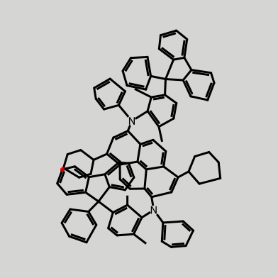 Cc1ccc(C2(c3ccccc3)c3ccccc3-c3ccccc32)c(C)c1N(c1ccccc1)c1cc(C2CCCCC2)c2ccc3c(N(c4ccccc4)c4c(C)ccc(C5(c6ccccc6)c6ccccc6-c6ccccc65)c4C)cc(C4CCCCC4)c4ccc1c2c43